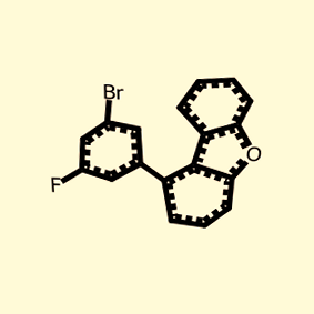 Fc1cc(Br)cc(-c2cccc3oc4ccccc4c23)c1